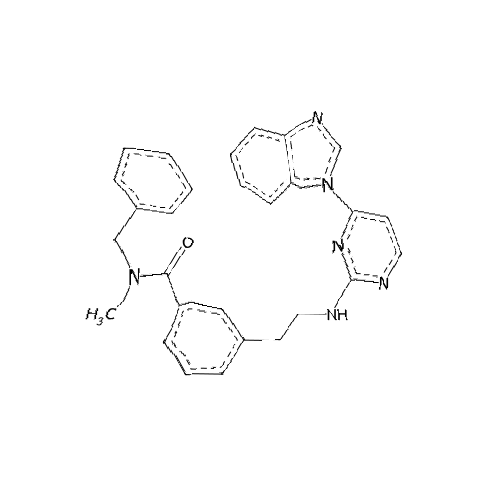 CN(Cc1ccccc1)C(=O)c1cccc(CCNc2nccc(-n3cnc4ccccc43)n2)c1